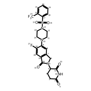 O=C1CCC(N2Cc3cc(N4CCN(S(=O)(=O)c5ccccc5C(F)(F)F)CC4)c(F)cc3C2=O)C(=O)N1